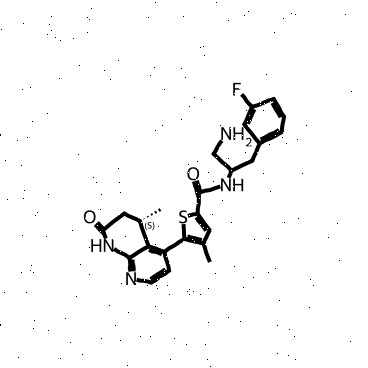 Cc1cc(C(=O)NC(CN)Cc2cccc(F)c2)sc1-c1ccnc2c1[C@@H](C)CC(=O)N2